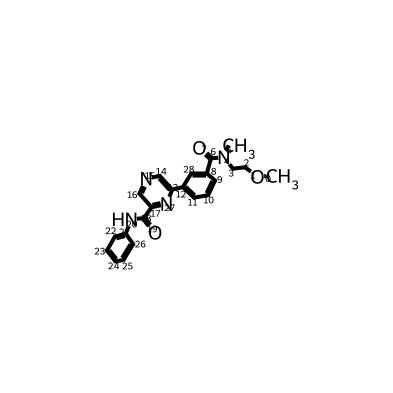 COCCN(C)C(=O)c1cccc(-c2cncc(C(=O)Nc3ccccc3)n2)c1